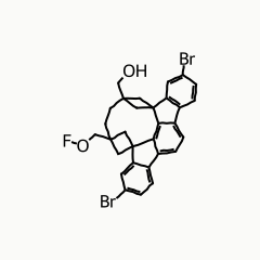 OCC12CCC3(COF)CC4(C3)c3cc(Br)ccc3-c3ccc5c(c34)C(C1)(C2)c1cc(Br)ccc1-5